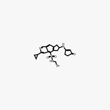 CC(C)CNS(=O)(=O)c1c2c(cc3cnc(C4CC4)cc13)CC(NC1=CC(=O)CC1)C2